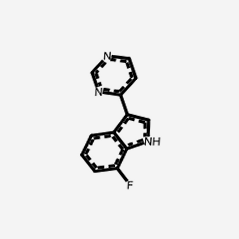 Fc1cccc2c(-c3ccncn3)c[nH]c12